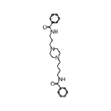 O=C(NCCCCN1CCN(CCCNC(=O)c2ccccc2)CC1)c1ccccc1